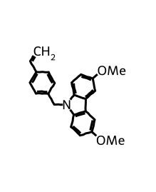 C=Cc1ccc(Cn2c3ccc(OC)cc3c3cc(OC)ccc32)cc1